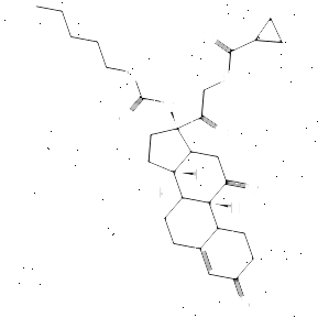 CCCCCOC(=O)O[C@]1(C(=O)COC(=O)C2CC2)CC[C@H]2[C@@H]3CCC4=CC(=O)CC[C@]4(C)[C@H]3C(=O)C[C@@]21C